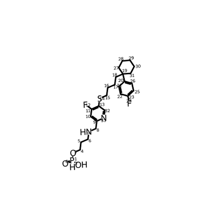 O=[PH](O)OCCCNCc1cc(F)c(SCCCCC2(c3ccc(F)cc3)CCCCC2)cn1